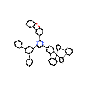 c1ccc(-c2cc(-c3ccccc3)cc(-c3cc(-c4ccc5c(c4)-c4ccccc4C54c5ccccc5-c5ccccc5-c5ccccc54)nc(-c4ccc5oc6ccccc6c5c4)n3)c2)cc1